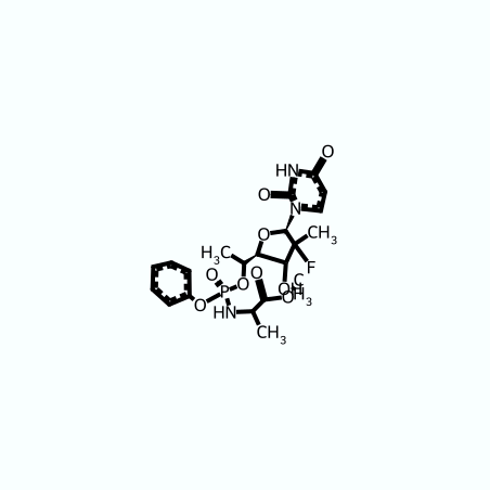 COC(=O)C(C)NP(=O)(Oc1ccccc1)OC(C)[C@H]1O[C@@H](n2ccc(=O)[nH]c2=O)C(C)(F)C1O